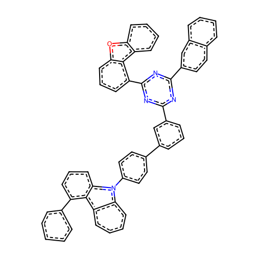 c1ccc(-c2cccc3c2c2ccccc2n3-c2ccc(-c3cccc(-c4nc(-c5ccc6ccccc6c5)nc(-c5cccc6oc7ccccc7c56)n4)c3)cc2)cc1